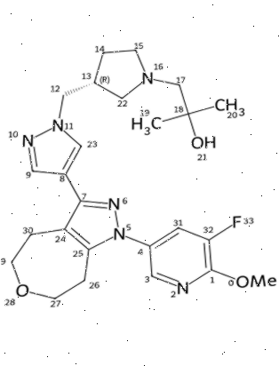 COc1ncc(-n2nc(-c3cnn(C[C@@H]4CCN(CC(C)(C)O)C4)c3)c3c2CCOCC3)cc1F